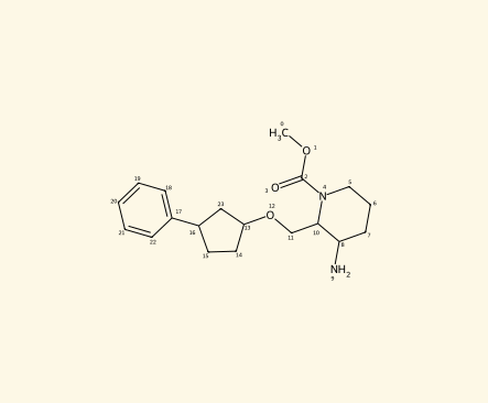 COC(=O)N1CCCC(N)C1COC1CCC(c2ccccc2)C1